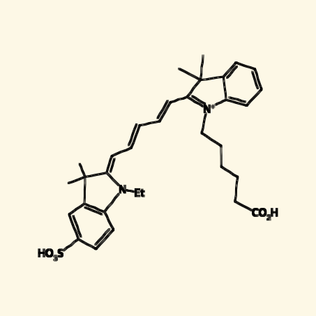 CCN1C(=C/C=C/C=C/C2=[N+](CCCCCC(=O)O)c3ccccc3C2(C)C)C(C)(C)c2cc(S(=O)(=O)O)ccc21